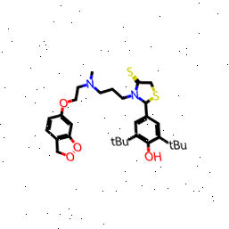 CN(CCCN1C(=S)CSC1c1cc(C(C)(C)C)c(O)c(C(C)(C)C)c1)CCOc1ccc2c(c1)OOC2